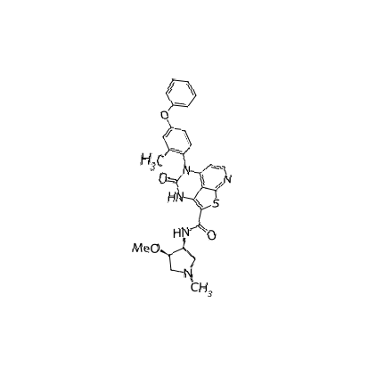 CO[C@@H]1CN(C)C[C@@H]1NC(=O)c1sc2nccc3c2c1NC(=O)N3c1ccc(Oc2ccccc2)cc1C